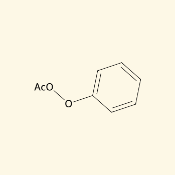 CC(=O)OOc1ccccc1